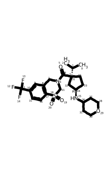 CC(C)[C@]1(C(=O)N2Cc3cc(C(F)(F)F)ccc3S(=O)(=O)C2)CC[C@@H](NC2CCOCC2)C1